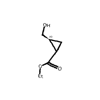 CCOC(=O)C1C[C@@H]1CO